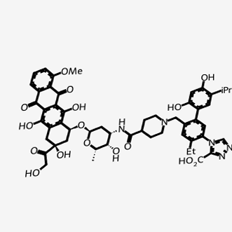 CCc1cc(CN2CCC(C(=O)N[C@H]3C[C@H](O[C@H]4C[C@](O)(C(=O)CO)Cc5c(O)c6c(c(O)c54)C(=O)c4c(OC)cccc4C6=O)O[C@@H](C)[C@H]3O)CC2)c(-c2cc(C(C)C)c(O)cc2O)cc1-n1cnnc1C(=O)O